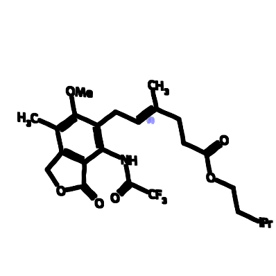 COc1c(C)c2c(c(NC(=O)C(F)(F)F)c1C/C=C(\C)CCC(=O)OCCC(C)C)C(=O)OC2